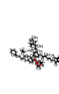 CN(C(=O)O)[C@@H]1[C@@H](O)[C@@H](O[C@@H]2[C@@H](O)[C@H](O[C@H]3O[C@H](CN(CCOC4CCCCO4)C(=O)OC(C)(C)C)CC[C@H]3NC(=O)OC(C)(C)C)[C@@H](NC(=O)OC(C)(C)C)C[C@H]2NC(=O)[C@@H](O)CCCN2C(=O)c3ccccc3C2=O)OC[C@]1(C)O